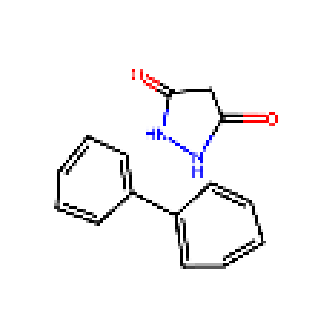 O=C1CC(=O)NN1.c1ccc(-c2ccccc2)cc1